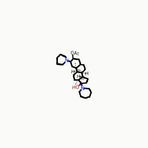 CC(=O)OC1CC2CC[C@@H]3[C@@H](CC[C@@]4(C)[C@H]3CCC4(O)N3CCCCCC3)[C@@]2(C)CC1N1CCCCC1